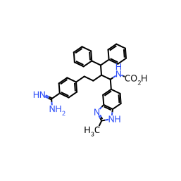 Cc1nc2cc(C(NC(=O)O)C(CCc3ccc(C(=N)N)cc3)C(c3ccccc3)c3ccccc3)ccc2[nH]1